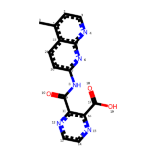 Cc1ccnc2nc(NC(=O)c3nccnc3C(=O)O)ccc12